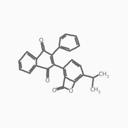 CC(C)c1ccc(C2=C(c3ccccc3)C(=O)c3ccccc3C2=O)c2c1OC2=O